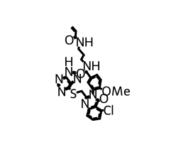 C=CC(=O)NCCCNC(=O)c1ccc(OC)c(-n2c(CSc3ncnc4[nH]cnc34)nc3cccc(Cl)c3c2=O)c1